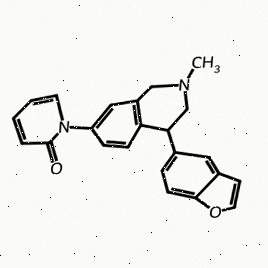 CN1Cc2cc(-n3ccccc3=O)ccc2C(c2ccc3occc3c2)C1